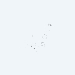 COC(=O)N[C@H](C(=O)N1[C@@H](c2nc(-c3ccc(B4OC(C)(C)C(C)(C)O4)cc3)c[nH]2)C[C@H]2CCC[C@H]21)C(C)C